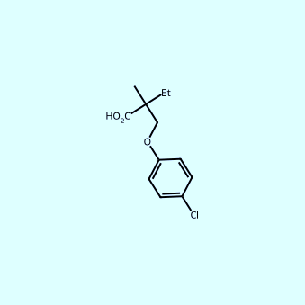 CCC(C)(COc1ccc(Cl)cc1)C(=O)O